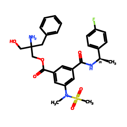 C[C@@H](NC(=O)c1cc(C(=O)OCC(N)(CO)Cc2ccccc2)cc(N(C)S(C)(=O)=O)c1)c1ccc(F)cc1